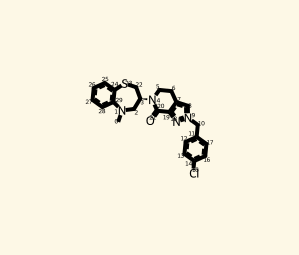 CN1C[C@@H](N2CCc3cn(Cc4ccc(Cl)cc4)nc3C2=O)CSc2ccccc21